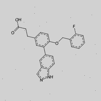 O=C(O)CCc1ccc(OCc2ccccc2F)c(-c2ccc3[nH]ncc3c2)c1